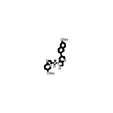 COc1ccc2cc(-c3cnc4c(c3)N(S(=O)(=O)c3cnc5ccc(OC)cn35)NC4)ccc2c1